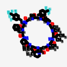 CC[C@H](C)[C@@H]1NC(=O)[C@H](C)N(C)C(=O)C[C@@H](C(=O)N2CCCCC2)N(C)C(=O)[C@H]([C@@H](C)CC)N(C)C(=O)C2(CCCC2)NC(=O)[C@@H](Cc2ccccc2)N(C)C(=O)[C@H](CCc2cc(F)c(C(F)(F)F)c(F)c2)NC(=O)CN(C)C(=O)[C@H](Cc2ccc(C(F)(F)F)cc2)N(C)C(=O)[C@@H]2CCN2C(=O)[C@H](C)N(C)C1=O